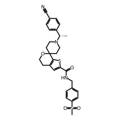 C[C@@H](c1ccc(C#N)cc1)N1CCC2(CC1)OCCc1cc(C(=O)NCc3ccc(S(C)(=O)=O)cc3)sc12